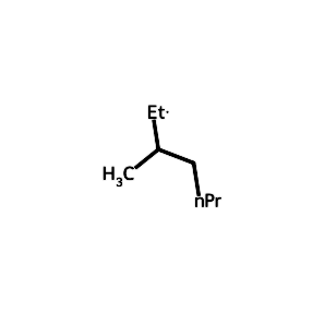 C[CH]C(C)CCCC